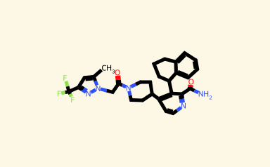 Cc1cc(C(F)(F)F)nn1CC(=O)N1CCC(c2ccnc(C(N)=O)c2C2CCCc3ccccc32)CC1